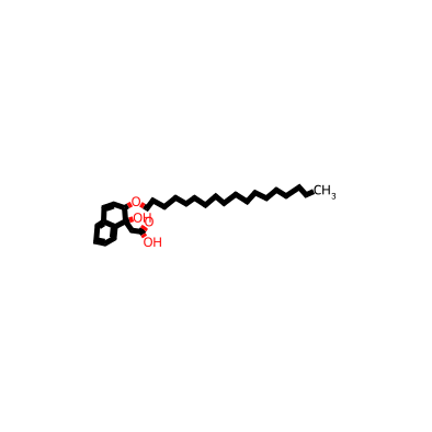 CCCCCCCCCCCCCCCCCCOC1C=Cc2ccccc2C1(O)CC(=O)O